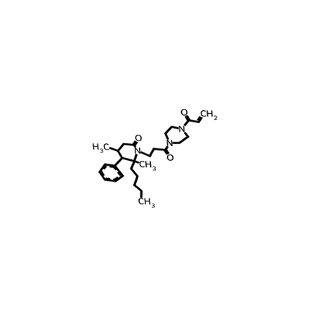 C=CC(=O)N1CCN(C(=O)CCN2C(=O)CC(C)C(c3ccccc3)C2(C)CCCCC)CC1